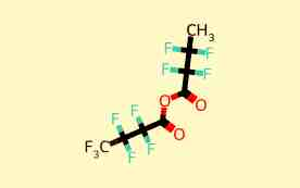 CC(F)(F)C(F)(F)C(=O)OC(=O)C(F)(F)C(F)(F)C(F)(F)F